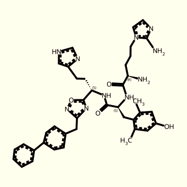 Cc1cc(O)cc(C)c1C[C@H](NC(=O)[C@H](N)CCCn1ccnc1N)C(=O)N[C@@H](CCc1c[nH]cn1)c1nc(Cc2ccc(-c3ccccc3)cc2)no1